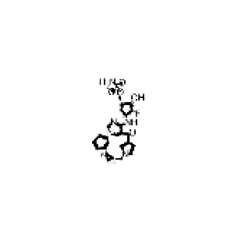 NS(=O)(=O)OC[C@H]1C[C@@H](Nc2ncncc2C(=O)c2ccn(C[C@H]3C[C@@H]3c3ccccc3)c2)[C@@H](F)[C@@H]1O